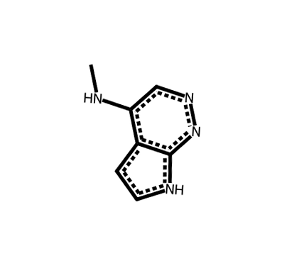 CNc1cnnc2[nH]ccc12